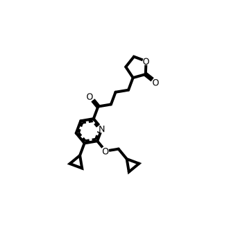 O=C(CCCC1CCOC1=O)c1ccc(C2CC2)c(OCC2CC2)n1